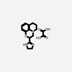 O=C(O)C(=O)O.c1cc2c3c(c1)OC(C1=NCCN1)CN3CCC2